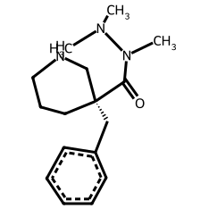 CN(C)N(C)C(=O)[C@@]1(Cc2ccccc2)CCCNC1